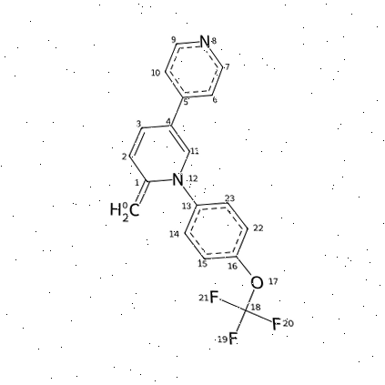 C=C1C=CC(c2ccncc2)=CN1c1ccc(OC(F)(F)F)cc1